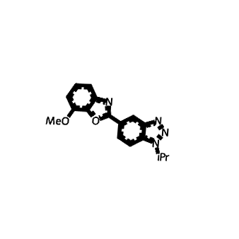 COc1cccc2nc(-c3ccc4c(c3)nnn4C(C)C)oc12